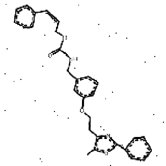 Cc1oc(-c2ccccc2)nc1CCOc1cccc(CNC(=O)OC/C=C\c2ccccc2)c1